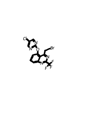 FC(F)(F)c1nc(CBr)c2c(Oc3ncc(Cl)cn3)cccc2n1